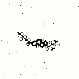 CCOC(=O)OCOC(=O)C1=CC2=CC[C@H]3[C@@H]4CC[C@H](C(=O)N(C(=O)NC(C)C)C(C)C)[C@@]4(C)CC[C@@H]3[C@@]2(C)CC1